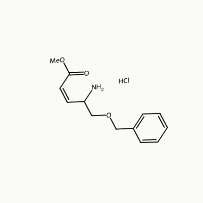 COC(=O)/C=C\C(N)COCc1ccccc1.Cl